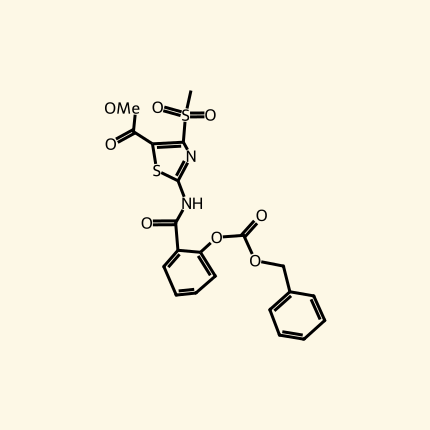 COC(=O)c1sc(NC(=O)c2ccccc2OC(=O)OCc2ccccc2)nc1S(C)(=O)=O